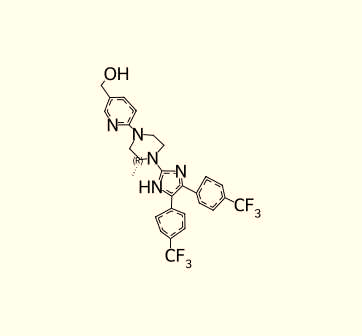 C[C@@H]1CN(c2ccc(CO)cn2)CCN1c1nc(-c2ccc(C(F)(F)F)cc2)c(-c2ccc(C(F)(F)F)cc2)[nH]1